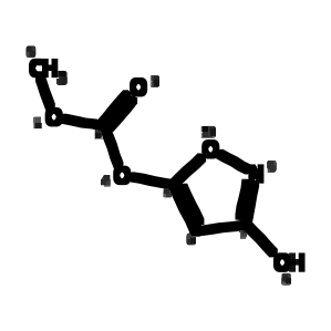 COC(=O)Oc1cc(O)no1